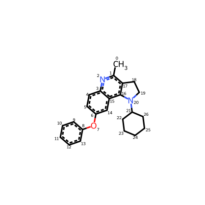 Cc1nc2ccc(Oc3ccccc3)cc2c2c1CCN2C1CCCCC1